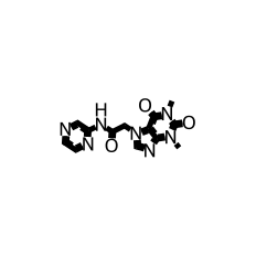 Cn1c(=O)c2c(ncn2CC(=O)Nc2cnccn2)n(C)c1=O